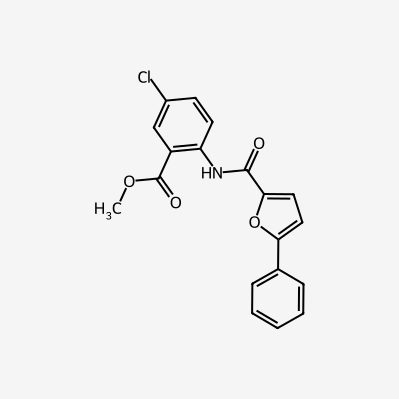 COC(=O)c1cc(Cl)ccc1NC(=O)c1ccc(-c2ccccc2)o1